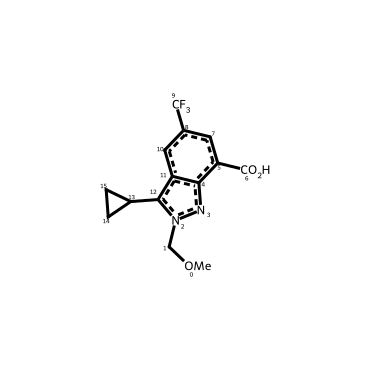 COCn1nc2c(C(=O)O)cc(C(F)(F)F)cc2c1C1CC1